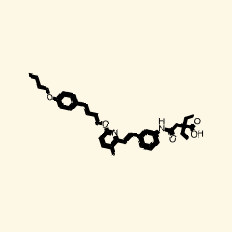 CCCCOc1ccc(CCCCOc2ccc(C)c(C=Cc3cccc(NC(=O)CC(CC)(CC)C(=O)O)c3)n2)cc1